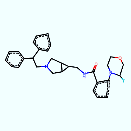 O=C(NCC1C2CN(CC(c3ccccc3)c3ccccc3)CC12)c1ccccc1N1CCOCC1F